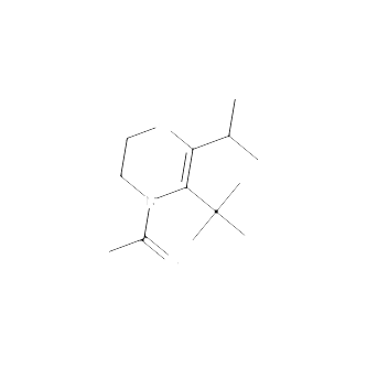 CC(=O)N1CCOC(C(C)C)=C1C(C)(C)C